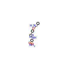 N[C@@H](COc1ccc(-c2ccnc(Nc3ccc(S(N)(=O)=O)cc3)n2)cc1)Cc1ccccc1